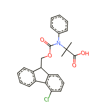 CC(C)(C(=O)O)N(C(=O)OCC1c2ccccc2-c2c(Cl)cccc21)c1ccccc1